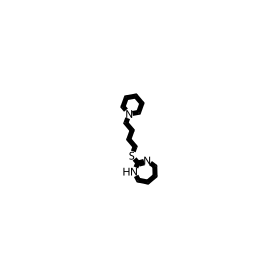 C1CCN(CCCCSC2=NCCCCN2)CC1